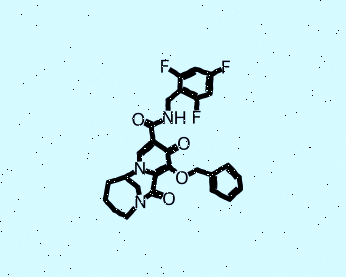 O=C(NCc1c(F)cc(F)cc1F)c1cn2c(c(OCc3ccccc3)c1=O)C(=O)N1CCCCC2C1